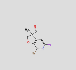 CC1(C=O)COc2c1cc(I)nc2Br